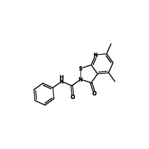 Cc1cc(C)c2c(=O)n(C(=O)Nc3ccccc3)sc2n1